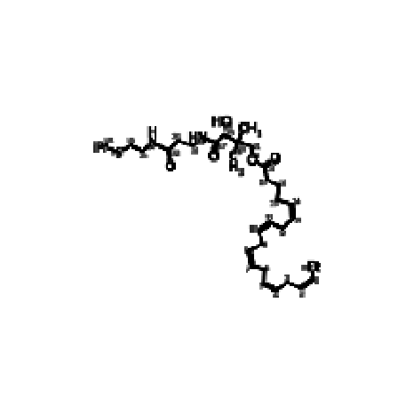 CC/C=C\C/C=C\C/C=C\C/C=C\C/C=C\CCCC(=O)OCC(C)(C)[C@@H](O)C(=O)NCCC(=O)NCCSC(C)C